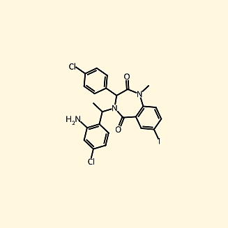 CC(c1ccc(Cl)cc1N)N1C(=O)c2cc(I)ccc2N(C)C(=O)C1c1ccc(Cl)cc1